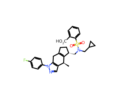 C[C@@H]1C2=C(CC[C@@H]2CN(CC2CC2)S(=O)(=O)c2ccccc2C(=O)O)Cc2c1cnn2-c1ccc(F)cc1